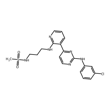 CS(=O)(=O)NCCCNc1ncccc1-c1ccnc(Nc2cccc(Cl)c2)n1